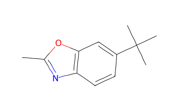 Cc1nc2ccc(C(C)(C)C)cc2o1